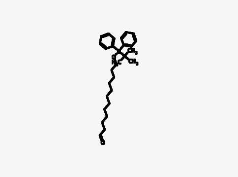 CC(C)(C)[Si](OCCCCCCCCCCCC=O)(c1ccccc1)c1ccccc1